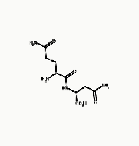 NC(=O)CCC(N)C(=O)N[C@@H](CC(N)=O)C(=O)O